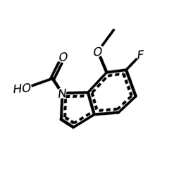 COc1c(F)ccc2ccn(C(=O)O)c12